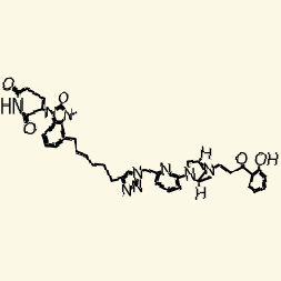 Cn1c(=O)n(C2CCC(=O)NC2=O)c2cccc(CCCCCCc3cn(Cc4cccc(N5C[C@H]6C[C@@H]5CN6/C=C/C(=O)c5ccccc5O)n4)nn3)c21